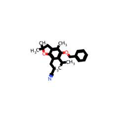 Cc1c2c(c(CCC#N)c(C(C)C)c1OCc1ccccc1)OC(C)(C)C2